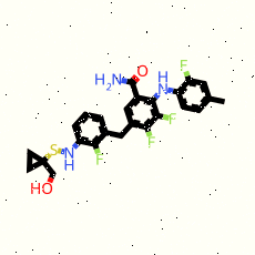 Cc1ccc(Nc2c(C(N)=O)cc(Cc3cccc(NSC4(CO)CC4)c3F)c(F)c2F)c(F)c1